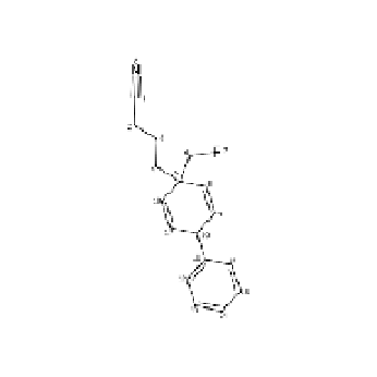 N#CCCCC1(CF)C=CC(c2ccccc2)C=C1